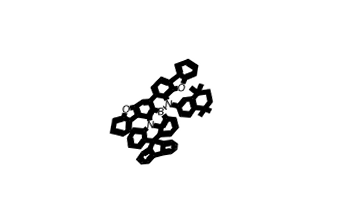 CC1(C)CCC(C)(C)c2cc(N3B4c5cccc6c5N(c5ccccc5C65c6ccccc6-c6ccccc65)c5c4c(cc4oc6ccccc6c54)-c4ccc5c(oc6ccccc65)c43)ccc21